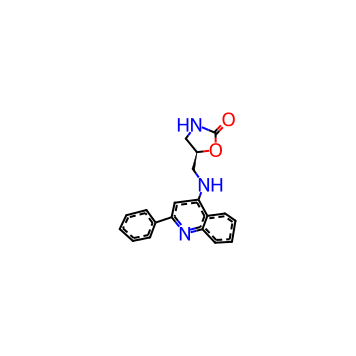 O=C1NC[C@H](CNc2cc(-c3ccccc3)nc3ccccc23)O1